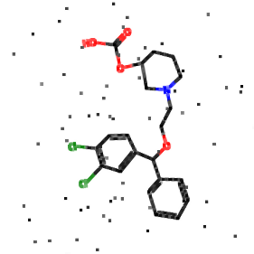 O=C(O)OC1CCCN(CCOC(c2ccccc2)c2ccc(Cl)c(Cl)c2)C1